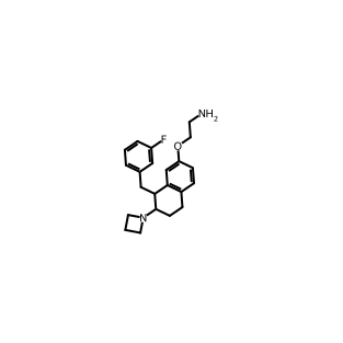 NCCOc1ccc2c(c1)C(Cc1cccc(F)c1)C(N1CCC1)CC2